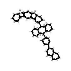 c1ccc2cc(-c3ccc(-c4c5ccccc5c(-c5ccc6oc7cc8sc9ccccc9c8cc7c6c5)c5ccccc45)cc3)ccc2c1